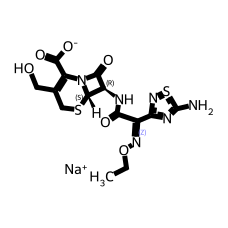 CCO/N=C(\C(=O)N[C@@H]1C(=O)N2C(C(=O)[O-])=C(CO)CS[C@@H]12)c1nsc(N)n1.[Na+]